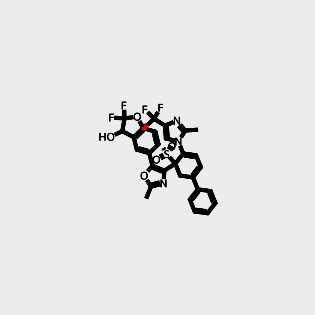 Cc1nc(C2(S(C)(=O)=O)CC(c3ccccc3)=CC=C2n2cc(C(F)(F)F)nc2C)c(-c2ccc3c(c2)C(O)C(F)(F)O3)o1